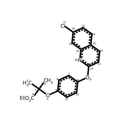 CCOC(=O)C(C)(C)Oc1ccc(Oc2ccc3ccc(Cl)cc3n2)cc1